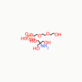 NC(CO)(CO)CO.O=P(O)(O)OCCOCCOCCO